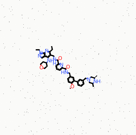 CCc1nc2c(cnn2CC)c(NC2CCOCC2)c1CNC(=O)c1cccc(C(=O)NCc2ccc(OC)c(-c3cccc(CN4CC(C)N[C@H](C)C4)c3)c2)n1